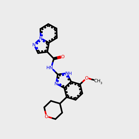 COc1ccc(C2CCOCC2)c2nc(NC(=O)c3cnn4ccccc34)[nH]c12